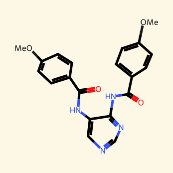 COc1ccc(C(=O)Nc2cncnc2NC(=O)c2ccc(OC)cc2)cc1